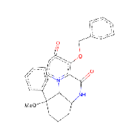 COC1(c2ccccc2)CCCC2NC(=O)c3c(OCc4ccccc4)c(=O)ccn3C21